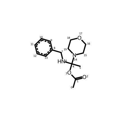 CC(=O)OC(C)(NCc1ccccc1)N1CCOCC1